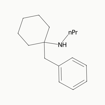 CCCNC1(Cc2ccccc2)CCCCC1